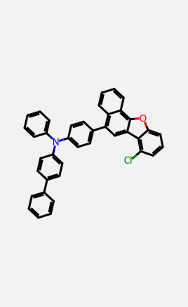 Clc1cccc2oc3c4ccccc4c(-c4ccc(N(c5ccccc5)c5ccc(-c6ccccc6)cc5)cc4)cc3c12